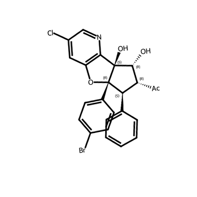 CC(=O)[C@H]1[C@@H](O)[C@@]2(O)c3ncc(Cl)cc3O[C@@]2(c2ccc(Br)cc2)[C@@H]1c1ccccc1